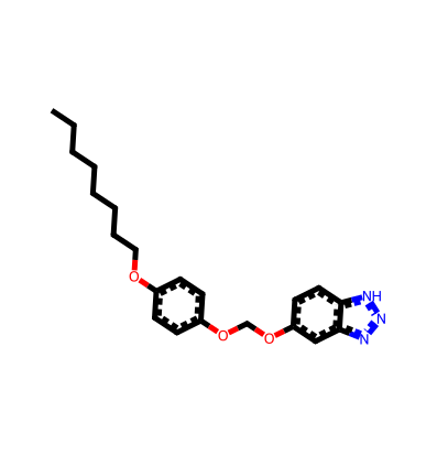 CCCCCCCCOc1ccc(OCOc2ccc3[nH]nnc3c2)cc1